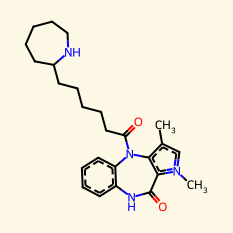 Cc1cn(C)c2c1N(C(=O)CCCCCC1CCCCCN1)c1ccccc1NC2=O